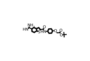 CC(C)(C)OC(=O)COc1ccc(NC(=O)c2cc3cc(C(=N)N)ccc3s2)cc1